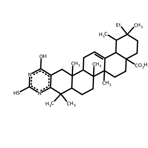 CCC1(C)CCC2(C(=O)O)CCC3(C)C(=CCC4C5(C)Cc6c(O)nc(S)nc6C(C)(C)C5CCC43C)C2C1C